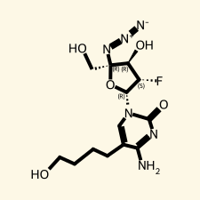 [N-]=[N+]=N[C@]1(CO)O[C@@H](n2cc(CCCCO)c(N)nc2=O)[C@@H](F)[C@@H]1O